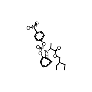 CCC(CC)COC(=O)C(C)N[P@@](=O)(Oc1ccccc1)Oc1ccc([N+](=O)[O-])cc1